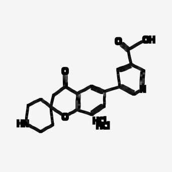 Cl.Cl.O=C(O)c1cncc(-c2ccc3c(c2)C(=O)CC2(CCNCC2)O3)c1